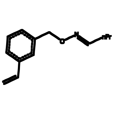 C=Cc1cccc(CON=CCCC)c1